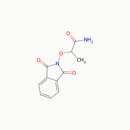 CC(ON1C(=O)c2ccccc2C1=O)C(N)=O